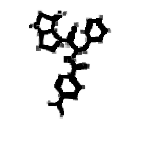 CC(C)c1ccc(C(=O)NC(Cc2ccncc2)C(=O)N2CCC3OCC(=O)C32)cc1